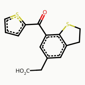 O=C(O)Cc1cc2c(c(C(=O)c3cccs3)c1)SCC2